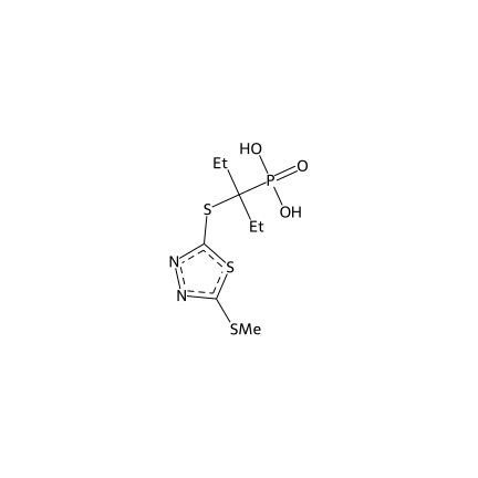 CCC(CC)(Sc1nnc(SC)s1)P(=O)(O)O